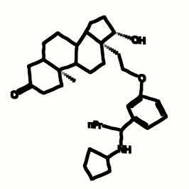 CCCC(NC1CCCC1)c1cccc(OCC[C@]23CCC4C(CCC5CC(=O)CC[C@@]54C)C2CC[C@@H]3O)c1